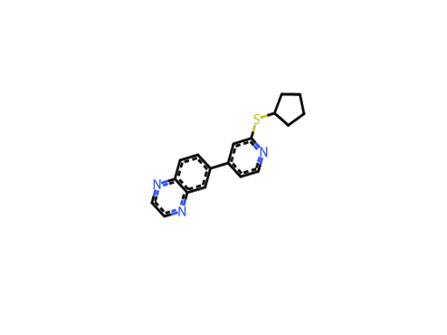 c1cc(-c2ccc3nccnc3c2)cc(SC2CCCC2)n1